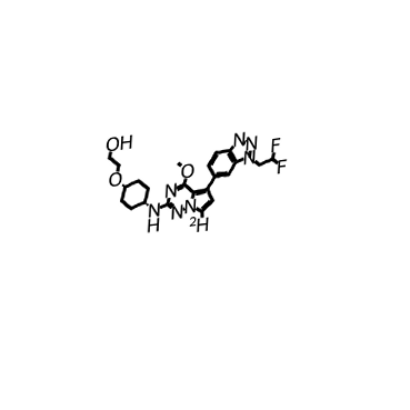 [2H]c1cc(-c2ccc3nnn(CC(F)F)c3c2)c2c(OC)nc(N[C@H]3CC[C@@H](OCCO)CC3)nn12